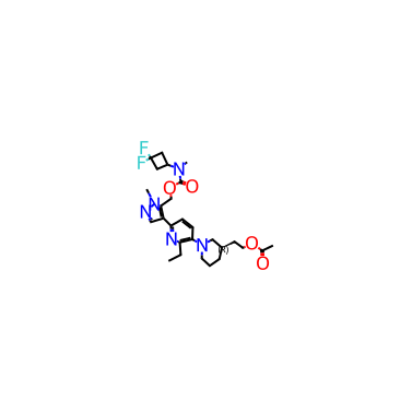 CCc1nc(-c2cnn(C)c2COC(=O)N(C)C2CC(F)(F)C2)ccc1N1CCC[C@H](CCOC(C)=O)C1